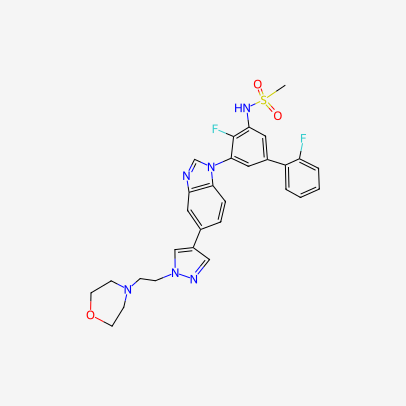 CS(=O)(=O)Nc1cc(-c2ccccc2F)cc(-n2cnc3cc(-c4cnn(CCN5CCOCC5)c4)ccc32)c1F